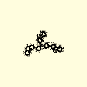 c1cc(-c2ccc3ccc4ccccc4c3c2)cc(N(c2ccc(-c3ccc4c(c3)oc3ccccc34)cc2)c2ccc3oc4ncccc4c3c2)c1